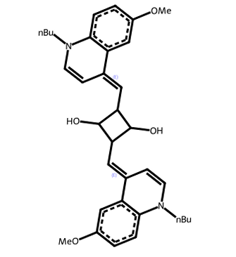 CCCCN1C=C/C(=C\C2C(O)C(/C=C3\C=CN(CCCC)c4ccc(OC)cc43)C2O)c2cc(OC)ccc21